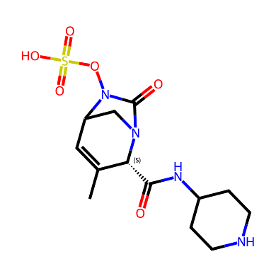 CC1=CC2CN(C(=O)N2OS(=O)(=O)O)[C@@H]1C(=O)NC1CCNCC1